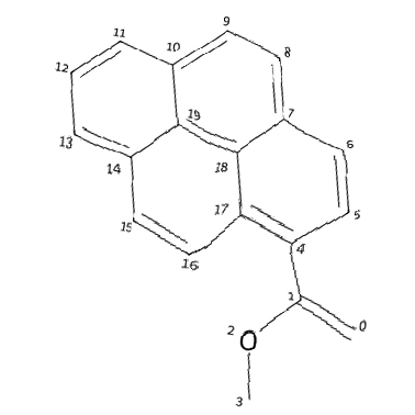 C=C(OC)c1ccc2ccc3cccc4ccc1c2c34